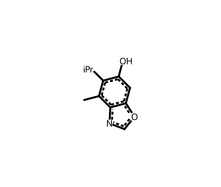 Cc1c(C(C)C)c(O)cc2ocnc12